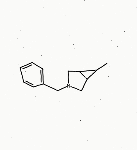 CC1C2CN(Cc3ccccc3)CC12